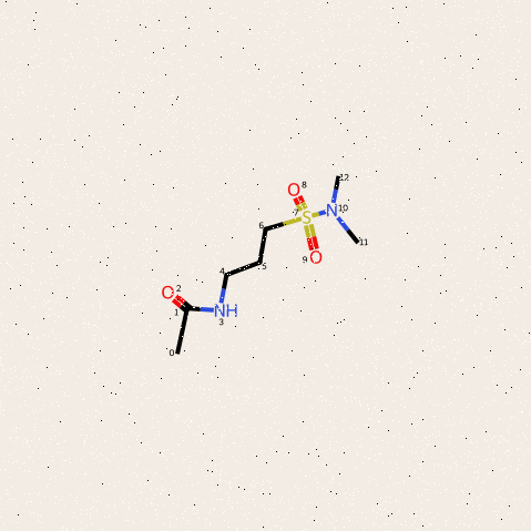 CC(=O)NCCCS(=O)(=O)N(C)C